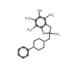 Cc1c(C)c2c(c(C)c1O)CC(C)(CN1CCN(c3ccccc3)CC1)O2